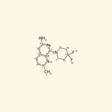 Cc1ccc2cc(N)nc(N3CCC(F)(F)CC3)c2n1